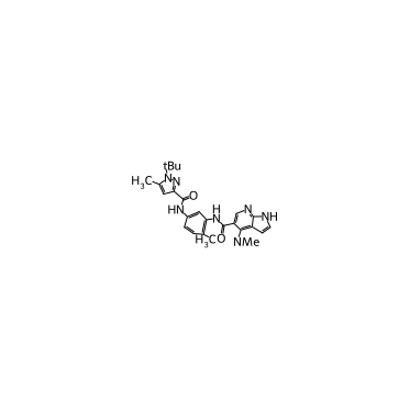 CNc1c(C(=O)Nc2cc(NC(=O)c3cc(C)n(C(C)(C)C)n3)ccc2C)cnc2[nH]ccc12